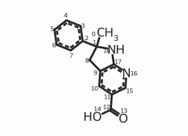 CC1(c2ccccc2)Cc2cc(C(=O)O)cnc2N1